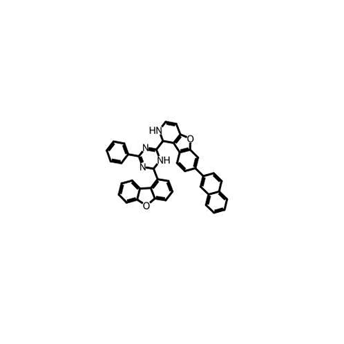 C1=Cc2oc3cc(-c4ccc5ccccc5c4)ccc3c2C(C2=NC(c3ccccc3)=NC(c3cccc4oc5ccccc5c34)N2)N1